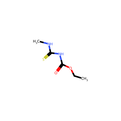 CCOC(=O)NC(=S)NC